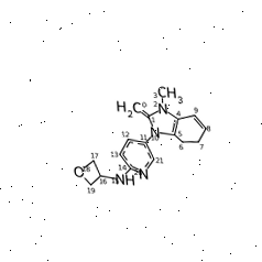 C=C1N(C)C2=C(CCC=C2)N1c1ccc(NC2COC2)nc1